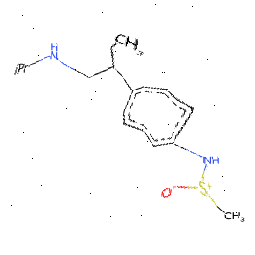 CC(C)NCC(C)c1ccc(N[S+](C)[O-])cc1